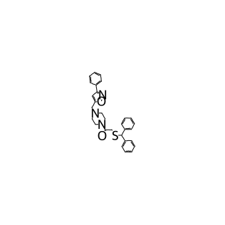 O=C(CSC(c1ccccc1)c1ccccc1)N1CCN(Cc2cc(-c3ccccc3)no2)CC1